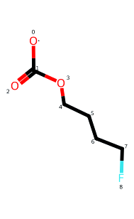 [O]C(=O)OCCCCF